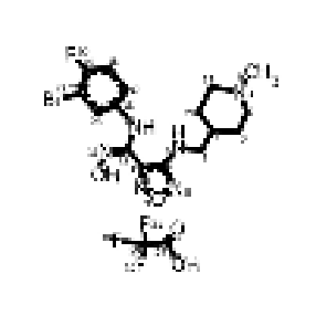 CN1CCC(CNc2nonc2/C(=N\O)Nc2ccc(F)c(Br)c2)CC1.O=C(O)C(F)(F)F